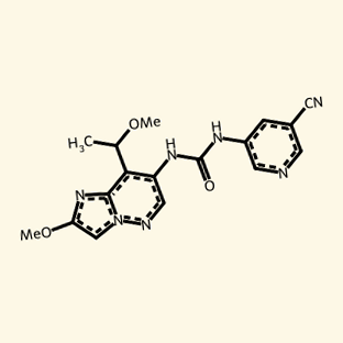 COc1cn2ncc(NC(=O)Nc3cncc(C#N)c3)c(C(C)OC)c2n1